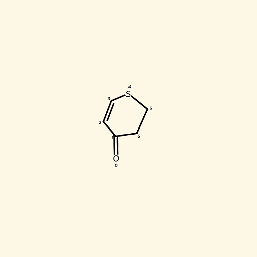 O=C1C=CSCC1